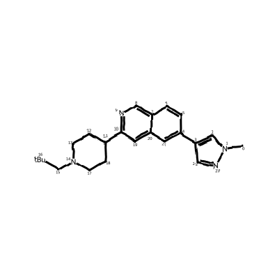 Cn1cc(-c2ccc3cnc(C4CCN(CC(C)(C)C)CC4)cc3c2)cn1